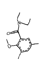 CCN(CC)C(=O)c1cc(C)cc(C)c1OC